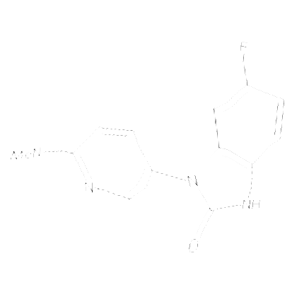 CNc1ccc(-n2c(=O)[nH]c3ccc(F)cc32)cn1